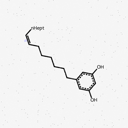 CCCCCCC/C=C\CCCCCCc1cc(O)cc(O)c1